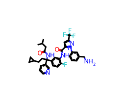 CC(C)CC(=O)NC(CCC1CC1)(c1cccnc1)c1ccc(F)c(NC(=O)c2cc(C(F)(F)F)nn2-c2cccc(CN)c2)c1